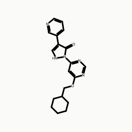 O=c1c(-c2cccnc2)c[nH]n1-c1cc(OCC2CCCCC2)ncn1